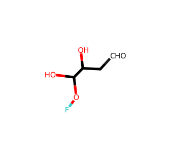 O=CCC(O)C(O)OF